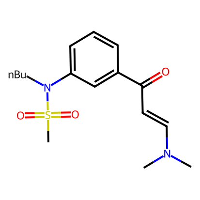 CCCCN(c1cccc(C(=O)C=CN(C)C)c1)S(C)(=O)=O